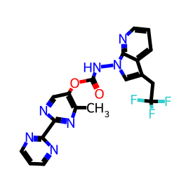 Cc1nc(-c2ncccn2)ncc1OC(=O)Nn1cc(CC(F)(F)F)c2cccnc21